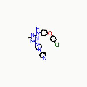 Cc1nc(Nc2ccc(Oc3ccc(Cl)cc3)cc2)nc(N2CCN(c3ccncc3)CC2)n1